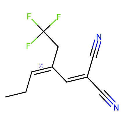 CC/C=C(\C=C(C#N)C#N)CC(F)(F)F